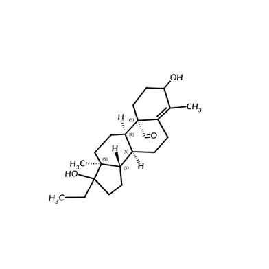 CCC1(O)CC[C@H]2[C@@H]3CCC4=C(C)C(O)CC[C@]4(C=O)[C@@H]3CC[C@@]21C